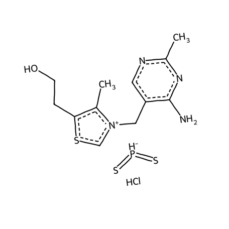 Cc1ncc(C[n+]2csc(CCO)c2C)c(N)n1.Cl.S=[PH-]=S